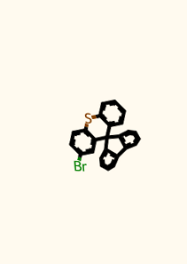 Brc1ccc2c(c1)C1(c3ccccc3S2)c2ccccc2-c2ccccc21